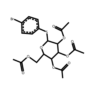 CC(=O)OCC1OC(Sc2ccc(Br)cc2)C(OC(C)=O)C(OC(C)=O)C1OC(C)=O